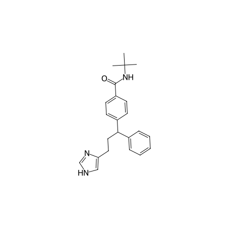 CC(C)(C)NC(=O)c1ccc(C(CCc2c[nH]cn2)c2ccccc2)cc1